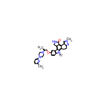 C=C(COc1ccc2c(c1)c1c3c(c4c(c1n2CC)CCc1nn(C)cc1-4)C(=O)NC3)N1CCN(c2cccc(C)n2)CC1